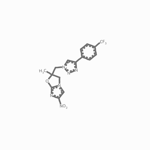 CC1(Cn2cc(-c3ccc(C(F)(F)F)cc3)nn2)Cn2cc([N+](=O)[O-])nc2O1